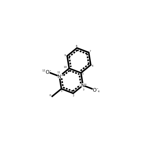 Cc1c[n+]([O-])c2ccccc2[n+]1[O-]